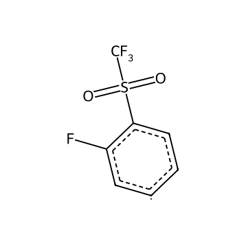 O=S(=O)(c1cc[c]cc1F)C(F)(F)F